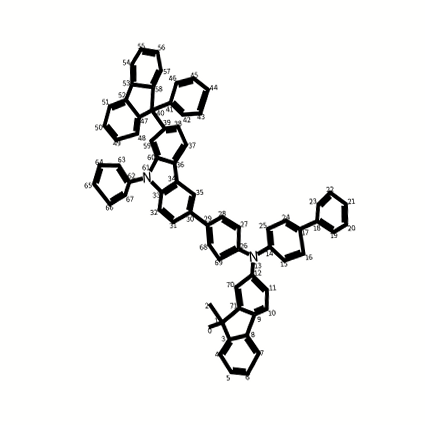 CC1(C)c2ccccc2-c2ccc(N(c3ccc(-c4ccccc4)cc3)c3ccc(-c4ccc5c(c4)c4ccc(C6(c7ccccc7)c7ccccc7-c7ccccc76)cc4n5-c4ccccc4)cc3)cc21